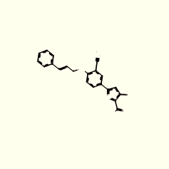 N#Cc1cc(-c2cc(F)c(C(=O)O)s2)ccc1OC/C=C/c1ccccc1